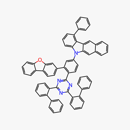 c1ccc(-c2ccccc2-c2nc(-c3ccccc3-c3ccccc3)nc(-c3ccc(-n4c5cc6ccccc6cc5c5c(-c6ccccc6)cccc54)cc3-c3ccc4c(c3)oc3ccccc34)n2)cc1